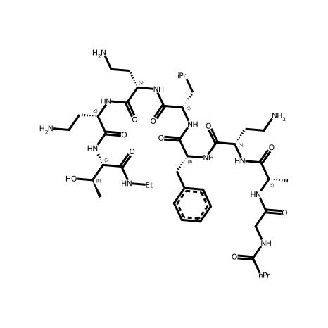 CCCC(=O)NCC(=O)N[C@@H](C)C(=O)N[C@@H](CCN)C(=O)N[C@H](Cc1ccccc1)C(=O)N[C@@H](CC(C)C)C(=O)N[C@@H](CCN)C(=O)N[C@@H](CCN)C(=O)N[C@H](C(=O)NCC)[C@@H](C)O